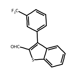 O=Cc1sc2ccccc2c1-c1cccc(C(F)(F)F)c1